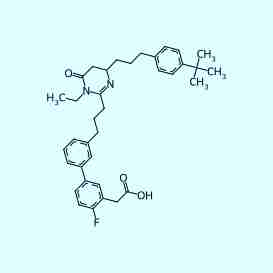 CCN1C(=O)CC(CCCc2ccc(C(C)(C)C)cc2)N=C1CCCc1cccc(-c2ccc(F)c(CC(=O)O)c2)c1